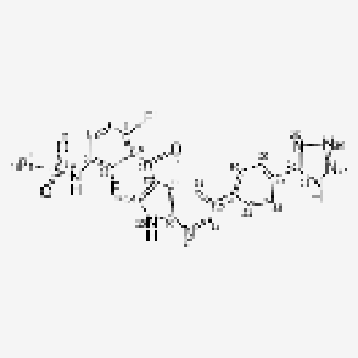 CCCS(=O)(=O)Nc1ccc(F)c(C(=O)c2c[nH]c3ncc(-c4ccc(-c5nnn[nH]5)cc4)cc23)c1F